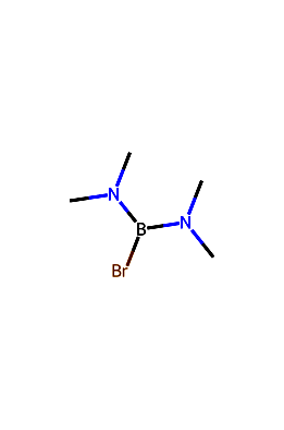 CN(C)B(Br)N(C)C